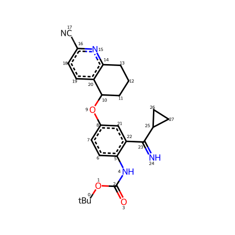 CC(C)(C)OC(=O)Nc1ccc(OC2CCCc3nc(C#N)ccc32)cc1C(=N)C1CC1